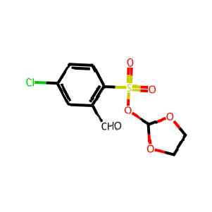 O=Cc1cc(Cl)ccc1S(=O)(=O)OC1OCCO1